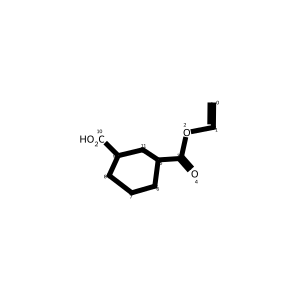 C=COC(=O)C1CCCC(C(=O)O)C1